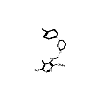 COc1nnc(C(=O)O)c(C)c1NC[C@H]1CCC[C@@H](c2ccc(C)cc2)O1